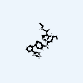 CCOC(=O)c1cnn2c(N(C)c3ccc(-c4ccccc4-c4nnn[nH]4)cc3)cc(CC)nc12